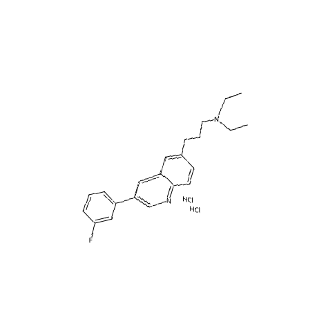 CCN(CC)CCCc1ccc2ncc(-c3cccc(F)c3)cc2c1.Cl.Cl